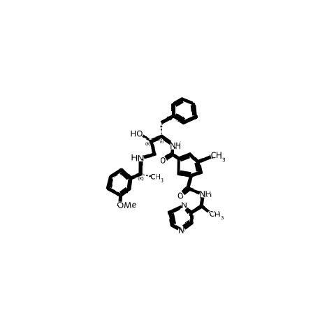 COc1cccc([C@@H](C)NC[C@@H](O)[C@H](Cc2ccccc2)NC(=O)c2cc(C)cc(C(=O)NC(C)c3cnccn3)c2)c1